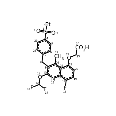 CCS(=O)(=O)c1ccc(Cc2c(OC(F)F)nc3c(F)ccc(OCC(=O)O)c3c2C)cc1